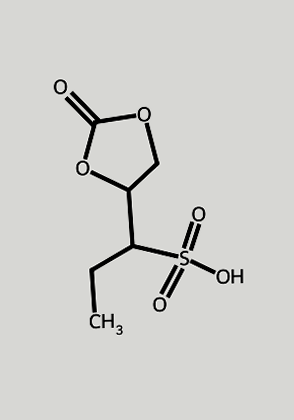 CCC(C1COC(=O)O1)S(=O)(=O)O